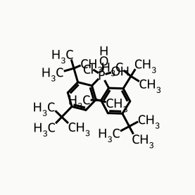 Cc1cc(C(C)(C)C)cc(C(C)(C)C)c1P(O)(O)(Cl)c1c(C)cc(C(C)(C)C)cc1C(C)(C)C